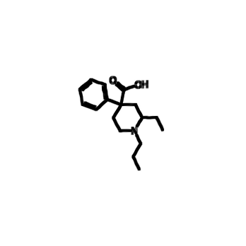 CCCN1CCC(C(=O)O)(c2ccccc2)CC1CC